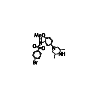 COc1ccc(N2CC(C)NC(C)C2)cc1NS(=O)(=O)c1ccc(Br)cc1